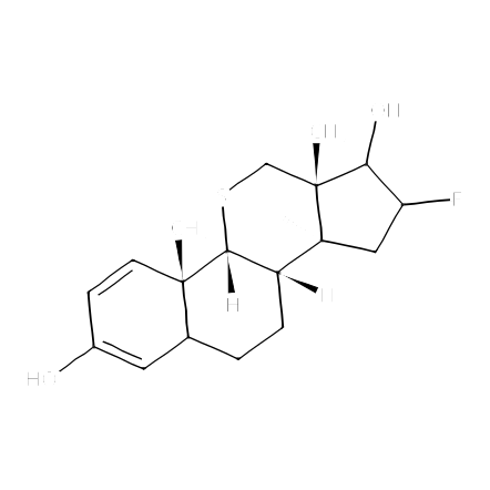 C[C@]12C=CC(O)=CC1CC[C@@H]1[C@H]2SC[C@]2(C)C(O)C(F)C[C@@H]12